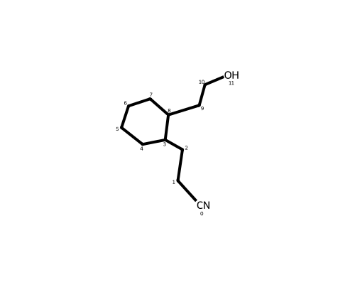 N#CCCC1CCCCC1CCO